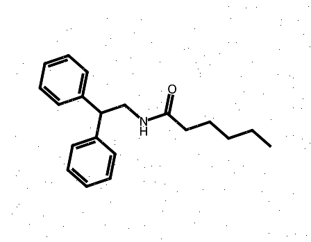 CCCCCC(=O)NCC(c1ccccc1)c1ccccc1